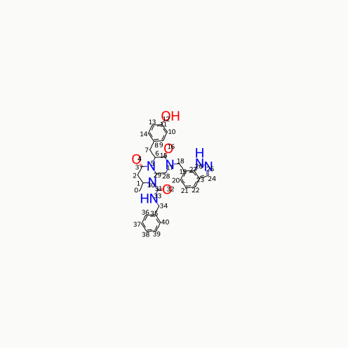 CC1CC(=O)N2C(Cc3ccc(O)cc3)C(=O)N(Cc3cccc4cn[nH]c34)CC2N1C(=O)NCc1ccccc1